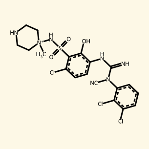 C[N+]1(NS(=O)(=O)c2c(Cl)ccc(NC(=N)N(C#N)c3cccc(Cl)c3Cl)c2O)CCNCC1